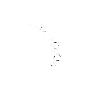 CC(=O)Nc1cc(Nc2ncnc(N3CCC(c4nc(C5CCCCC5)no4)CC3)n2)ccc1Cl